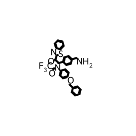 NCc1ccc(C(C(=O)c2nc3ccccc3s2)N(C(=O)C(F)(F)F)c2ccc(OCc3ccccc3)cc2)cc1